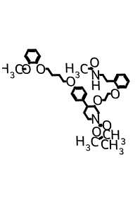 COc1ccccc1OCCCCOc1ccc(C2CCN(C(=O)OC(C)(C)C)CC2OCCOc2ccccc2CCNC(C)=O)cc1